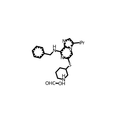 CC(C)c1cnc2c(NCc3ccccc3)nc(SC3CCCNC3)cn12.O=CO